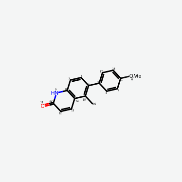 COc1ccc(-c2ccc3[nH]c(=O)ccc3c2C)cc1